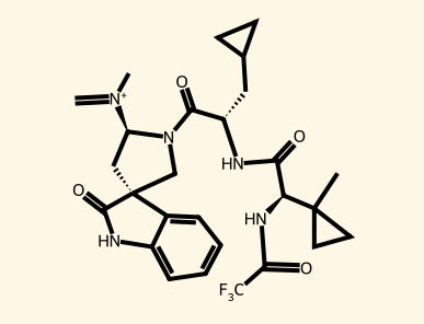 C=[N+](C)[C@@H]1C[C@@]2(CN1C(=O)[C@H](CC1CC1)NC(=O)[C@H](NC(=O)C(F)(F)F)C1(C)CC1)C(=O)Nc1ccccc12